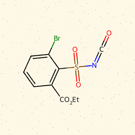 CCOC(=O)c1cccc(Br)c1S(=O)(=O)N=C=O